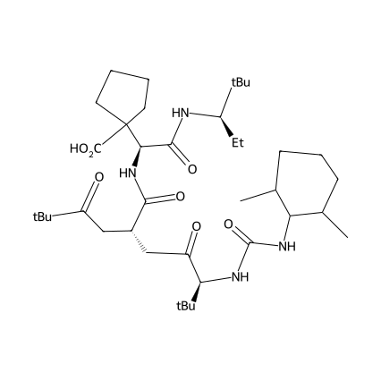 CC[C@@H](NC(=O)[C@@H](NC(=O)[C@H](CC(=O)[C@@H](NC(=O)NC1C(C)CCCC1C)C(C)(C)C)CC(=O)C(C)(C)C)C1(C(=O)O)CCCC1)C(C)(C)C